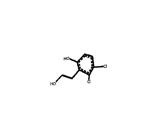 OCCc1c(O)ccc(Cl)c1Cl